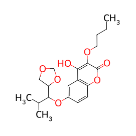 CCCCOc1c(O)c2cc(OC(C(C)C)C3COCO3)ccc2oc1=O